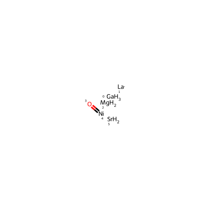 [GaH3].[La].[MgH2].[O]=[Ni].[SrH2]